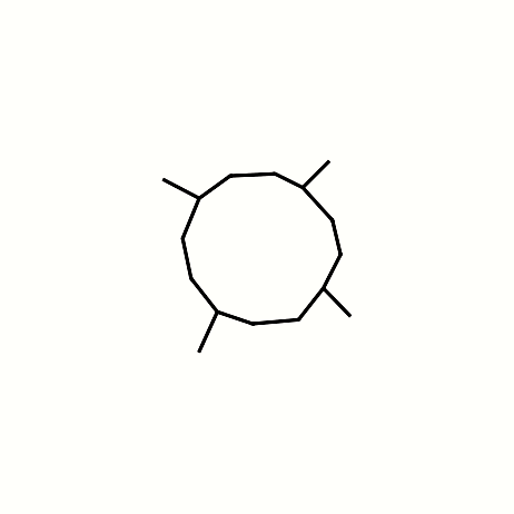 CC1CCC(C)CCC(C)CCC(C)CC1